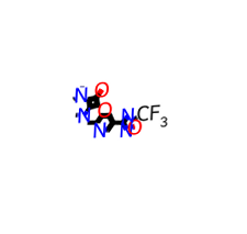 CN(C)c1c(N(C)Cc2ccc(-c3noc(C(F)(F)F)n3)cn2)c(=O)c1=O